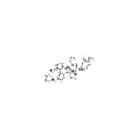 CCOC(=O)C1=C(C(=O)Nc2ccc(C)c(F)c2)C2C=CC1(C(Nc1cccc(C)c1)c1ccc(CN3CCOCC3)cc1)O2